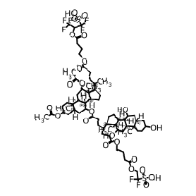 CC(=O)OC1CC[C@@]2(C)[C@@H](C1)CC(OC(=O)CC[C@H](CCC(=O)OCCCC(=O)OCC(F)(F)S(=O)(=O)O)[C@H]1CC[C@H]3[C@@H]4C(O)C[C@@H]5CC(O)CC[C@]5(C)[C@H]4CC(O)[C@]13C)[C@@H]1[C@@H]2CC(OC(C)=O)[C@]2(C)[C@@H]([C@H](C)CCC(=O)OCCCC(=O)OC(C(F)(F)F)C(F)(F)S(=O)(=O)O)CC[C@@H]12